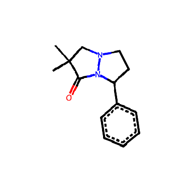 CC1(C)CN2CCC(c3ccccc3)N2C1=O